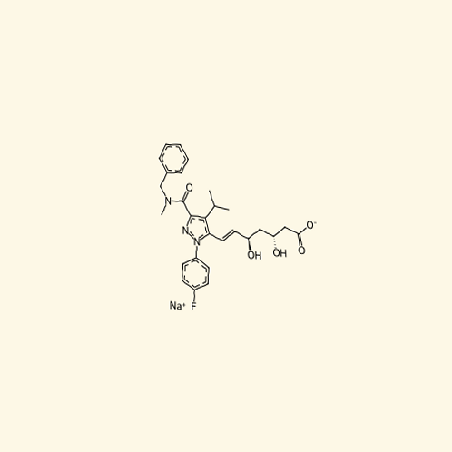 CC(C)c1c(C(=O)N(C)Cc2ccccc2)nn(-c2ccc(F)cc2)c1C=C[C@H](O)C[C@@H](O)CC(=O)[O-].[Na+]